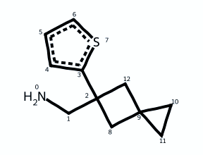 NCC1(c2cccs2)CC2(CC2)C1